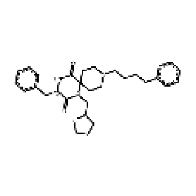 O=C1[C@@H](Cc2ccccc2)NC(=O)C2(CCN(CCCCc3ccccc3)CC2)N1CC1CCCO1